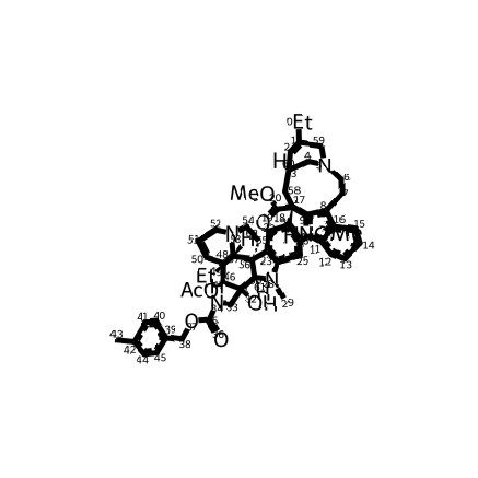 CCC1=C[C@@H]2CN(CCc3c([nH]c4ccccc34)[C@@](C(=O)OC)(c3cc4c(cc3OC)N(C)[C@H]3C(O)(CNC(=O)OCc5ccc(C)cc5)[C@H](OC(C)=O)[C@]5(CC)C=CCN6CC[C@]43[C@@H]65)C2)C1